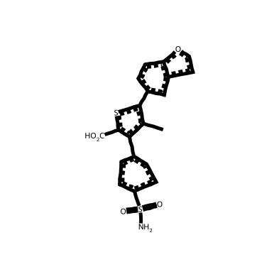 Cc1c(-c2ccc3occc3c2)sc(C(=O)O)c1-c1ccc(S(N)(=O)=O)cc1